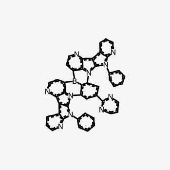 c1ccc(-n2c3ncccc3c3c4nccc5c4n(c32)-c2cc(-c3ncccn3)cc3c2B5c2ccnc4c5c6cccnc6n(-c6ccccc6)c5n-3c24)cc1